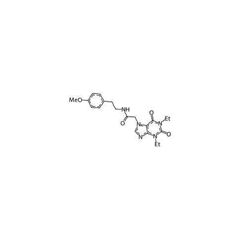 CCn1c(=O)c2c(ncn2CC(=O)NCCc2ccc(OC)cc2)n(CC)c1=O